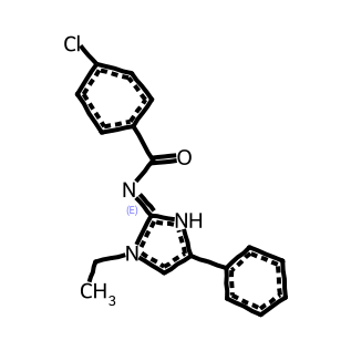 CCn1cc(-c2ccccc2)[nH]/c1=N\C(=O)c1ccc(Cl)cc1